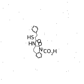 O=C(O)CN1C(=O)[C@H](NC(=O)[C@H](S)Cc2ccccc2)CCc2ccccc21